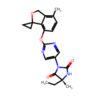 CC[C@@]1(C)NC(=O)N(c2cnc(Oc3ccc(C)c4c3C3(CC3)OC4)nc2)C1=O